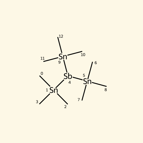 [CH3][Sn]([CH3])([CH3])[Sb]([Sn]([CH3])([CH3])[CH3])[Sn]([CH3])([CH3])[CH3]